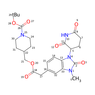 Cn1c(=O)n(C2CCC(=O)NC2=O)c2ccc(CC(=O)OCC3CCN(C(=O)OC(C)(C)C)CC3)cc21